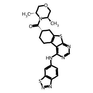 C[C@@H]1COC[C@@H](C)N1C(=O)[C@H]1CCc2c(sc3ncnc(Nc4ccc5nnsc5c4)c23)C1